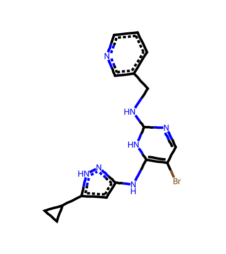 BrC1=C(Nc2cc(C3CC3)[nH]n2)NC(NCc2cccnc2)N=C1